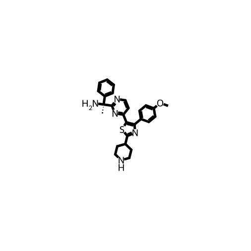 COc1ccc(-c2nc(C3CCNCC3)sc2-c2ccnc([C@@](C)(N)c3ccccc3)n2)cc1